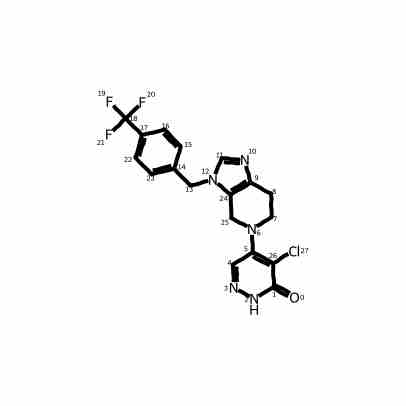 O=c1[nH]ncc(N2CCc3ncn(Cc4ccc(C(F)(F)F)cc4)c3C2)c1Cl